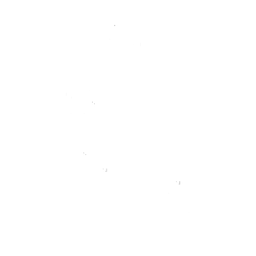 Cc1ccoc1C(=O)Nc1cccc(C#Cc2cc(C(=O)N=S(C)(=O)CCCC(C)C(=O)O)cnc2N)c1